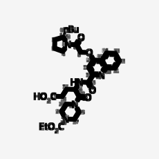 CCCC[C@H]1CCCN1C(=O)COc1cc(C(=O)NC(CCC(=O)O)C(=O)N2CCN(C(=O)OCC)CC2)nc2ccccc12